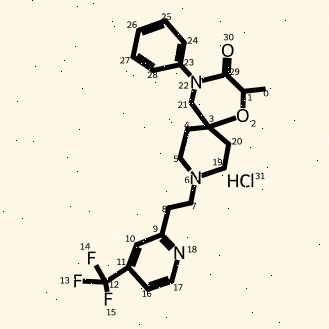 CC1OC2(CCN(CCc3cc(C(F)(F)F)ccn3)CC2)CN(c2ccccc2)C1=O.Cl